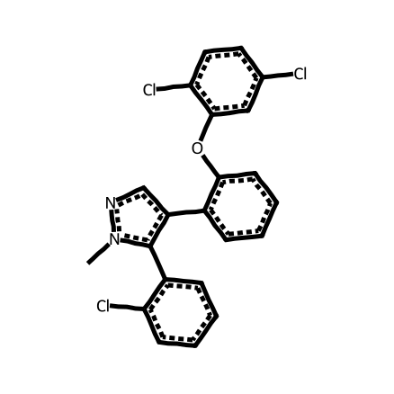 Cn1ncc(-c2ccccc2Oc2cc(Cl)ccc2Cl)c1-c1ccccc1Cl